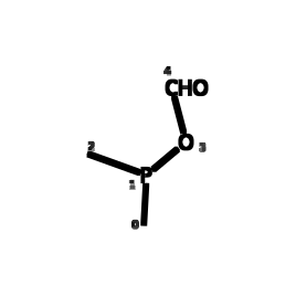 CP(C)OC=O